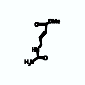 COC(=O)/C=C/CNC(N)=O